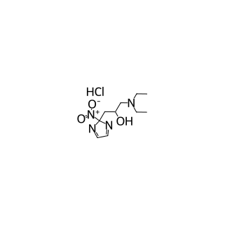 CCN(CC)CC(O)CC1([N+](=O)[O-])N=CC=N1.Cl